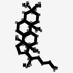 CC(C)CCC[C@@H](C)[C@H]1CC[C@H]2C3=C(CC[C@]12C)[C@@]1(C)CC[C@](C)(O)CC1CC3